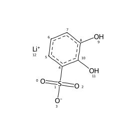 O=S(=O)([O-])c1cccc(O)c1O.[Li+]